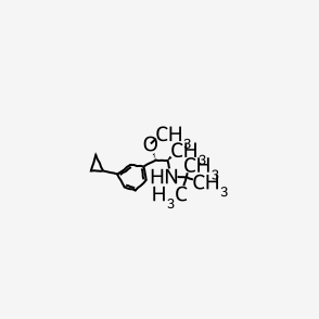 CO[C@@H](c1cccc(C2CC2)c1)[C@@H](C)NC(C)(C)C